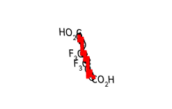 Cc1cc(OCCCc2ccc(-c3ccc(CCCOc4ccc(OCC(=O)O)c(C)c4)c(C(F)(F)F)c3)cc2C(F)(F)F)ccc1OCC(=O)O